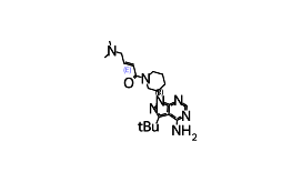 CN(C)C/C=C/C(=O)N1CCC[C@@H](n2nc(C(C)(C)C)c3c(N)ncnc32)C1